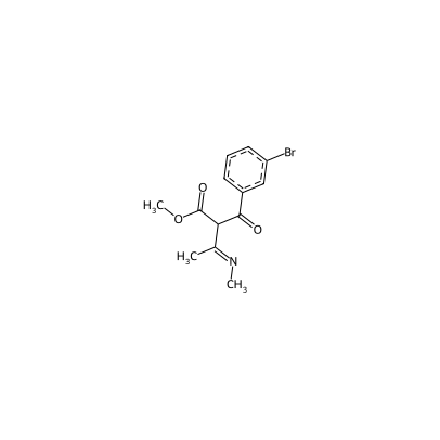 CN=C(C)C(C(=O)OC)C(=O)c1cccc(Br)c1